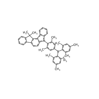 Cc1cc(C)c(B(c2cc(C)c(-n3c4ccccc4c4c5c(ccc43)-c3ccccc3C5(C)C)c(C)c2)c2c(C)cc(C)cc2C)c(C)c1